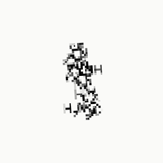 C[C@@H]1OCC2(CCN(c3nc4[nH]nc(C5(c6cccnc6)CC5)c4c(=O)[nH]3)CC2)[C@@H]1N